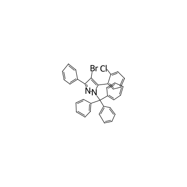 Clc1ccccc1-c1c(Br)c(-c2ccccc2)nn1C(c1ccccc1)(c1ccccc1)c1ccccc1